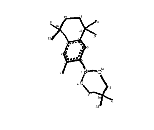 Cc1cc2c(cc1B1OCC(C)(C)CO1)C(C)(C)CCC2(C)C